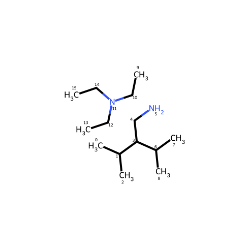 CC(C)C(CN)C(C)C.CCN(CC)CC